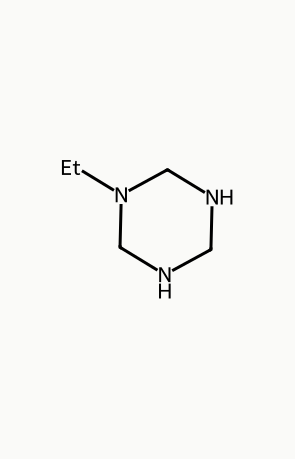 CCN1CNCNC1